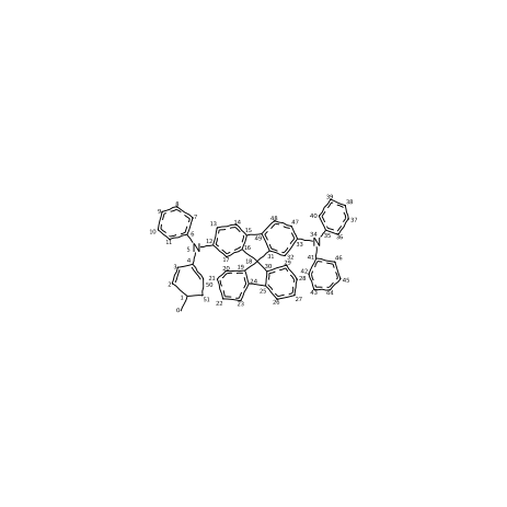 CC1C=CC(N(c2ccccc2)c2ccc3c(c2)C2(c4ccccc4-c4ccccc42)c2cc(N(c4ccccc4)c4ccccc4)ccc2-3)=CC1